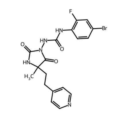 CC1(CCc2ccncc2)NC(=O)N(NC(=O)Nc2ccc(Br)cc2F)C1=O